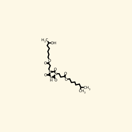 CC(C)CCCCCOC(=O)CCn1c(=O)[nH]c(=O)n(CCC(=O)OCCCCCC(C)O)c1=O